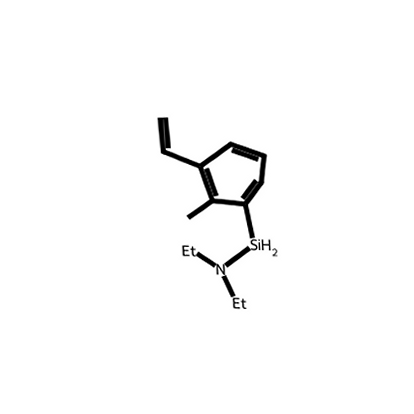 C=Cc1cccc([SiH2]N(CC)CC)c1C